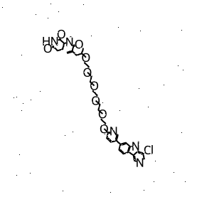 C=C(CC(C)OCCOCCOCCOCCOCCOc1ccc(-c2ccc3c4cncc(Cl)c4n(C)c3c2)cn1)C(=O)N(C)C1CCC(=O)NC1=O